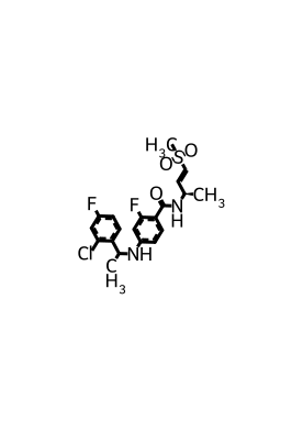 CC(Nc1ccc(C(=O)N[C@H](C)/C=C/S(C)(=O)=O)c(F)c1)c1ccc(F)cc1Cl